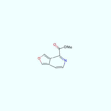 COC(=O)c1nccc2cocc12